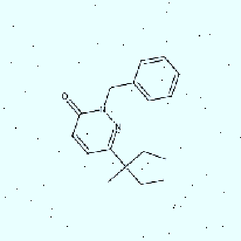 CCC(C)(CC)c1ccc(=O)n(Cc2ccccc2)n1